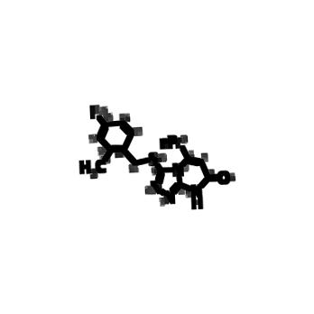 CCCc1cc(=O)[nH]c2nnc(SCc3ccc(F)cc3C)n12